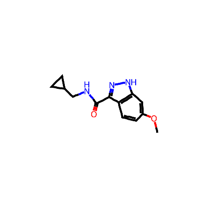 COc1ccc2c(C(=O)NCC3CC3)n[nH]c2c1